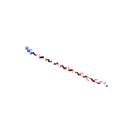 CCOCCOCCOCCOCCOCCOCCOCCOCCOCCN=[N+]=[N-]